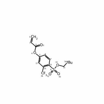 C=CC(=O)Oc1ccc(S(=O)(=O)OCC(C)(C)C)c(C(F)(F)F)c1